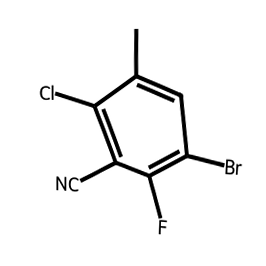 Cc1cc(Br)c(F)c(C#N)c1Cl